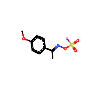 COc1ccc(C(C)=NOS(=O)(=O)I)cc1